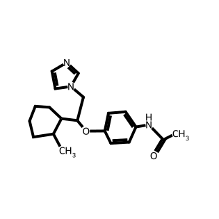 CC(=O)Nc1ccc(OC(Cn2ccnc2)C2CCCCC2C)cc1